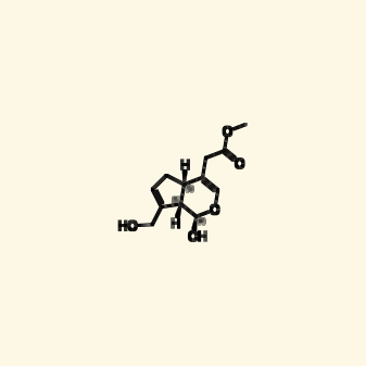 COC(=O)CC1=CO[C@@H](O)[C@@H]2C(CO)=CC[C@H]12